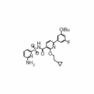 CC(C)COc1cc(F)cc(-c2ccc(C(=O)NS(=O)(=O)c3cccc(N)n3)c(OCCC3CC3)n2)c1